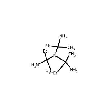 CCC(C)(N)N(C(C)(N)CC)C(C)(N)CC